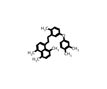 Cc1ccc(Oc2ccc(C)c(CCc3ccc(C)c4c(C)ccc(C)c34)c2)cc1C